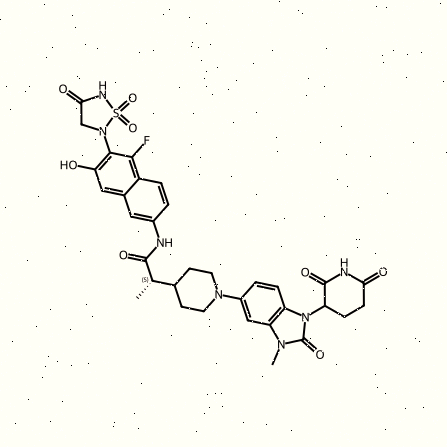 C[C@H](C(=O)Nc1ccc2c(F)c(N3CC(=O)NS3(=O)=O)c(O)cc2c1)C1CCN(c2ccc3c(c2)n(C)c(=O)n3C2CCC(=O)NC2=O)CC1